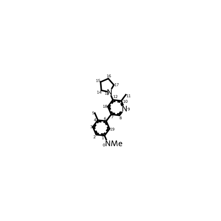 CNc1ccc(C)c(-c2cnc(C)c(N3CCCC3)c2)c1